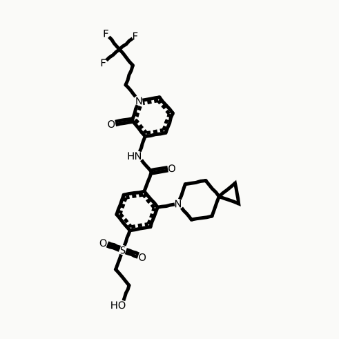 O=C(Nc1cccn(CCC(F)(F)F)c1=O)c1ccc(S(=O)(=O)CCO)cc1N1CCC2(CC1)CC2